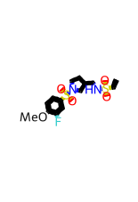 C=CS(=O)(=O)NCC1CCN(S(=O)(=O)c2ccc(OC)c(F)c2)C1